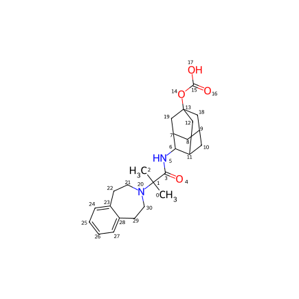 CC(C)(C(=O)NC1C2CC3CC1CC(OC(=O)O)(C3)C2)N1CCc2ccccc2CC1